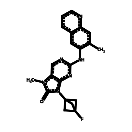 Cc1cc2ncccc2cc1Nc1ncc2c(n1)n(C13CC(F)(C1)C3)c(=O)n2C